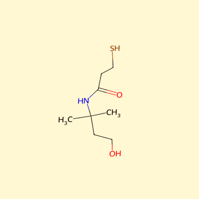 CC(C)(CCO)NC(=O)CCS